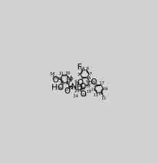 COc1cc(F)ccc1[C@@H](Oc1ccc(C)cc1)[C@H](C)OC(=O)[C@H](C)NC(=O)c1nccc(OC)c1O